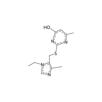 CCn1cnc(C)c1CSc1nc(C)cc(O)n1